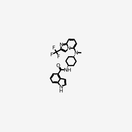 CN(c1cccc2nc(C(F)(F)F)cn12)[C@H]1CC[C@@H](NC(=O)c2cccc3[nH]ccc23)CC1